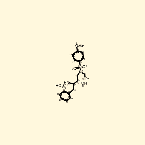 COc1ccc(S(=O)(=O)N(CC(C)C)C[C@H](O)C(Cc2ccccc2)NC(=O)O)cc1